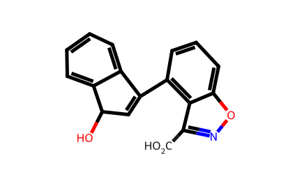 O=C(O)c1noc2cccc(C3=CC(O)c4ccccc43)c12